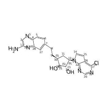 Nc1cnc2ccc(CC[C@H]3C[C@@H](n4ccc5c(Cl)ncnc54)[C@H](O)[C@@H]3O)cc2n1